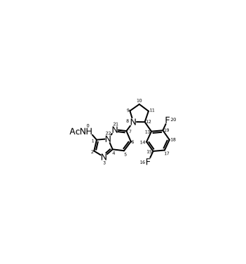 CC(=O)Nc1cnc2ccc(N3CCCC3c3cc(F)ccc3F)nn12